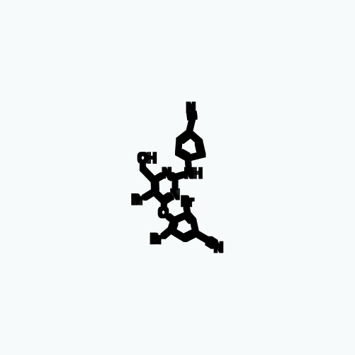 N#Cc1ccc(Nc2nc(CO)c(Br)c(Oc3c(Br)cc(C#N)cc3Br)n2)cc1